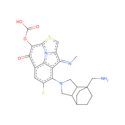 CN=c1c2c(N3CC4C5CCC(CN)(CC5)C4C3)c(F)cc3c(=O)c(OC(=O)O)c4scc1n4c32